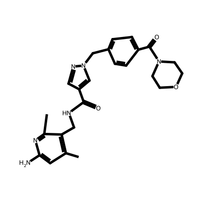 Cc1cc(N)nc(C)c1CNC(=O)c1cnn(Cc2ccc(C(=O)N3CCOCC3)cc2)c1